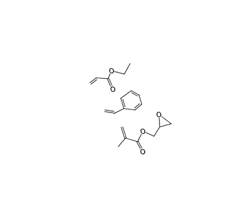 C=C(C)C(=O)OCC1CO1.C=CC(=O)OCC.C=Cc1ccccc1